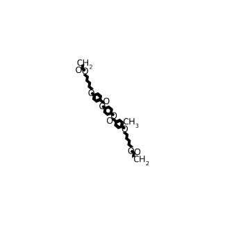 C=CC(=O)OCCCCCCOc1ccc(C(=O)OC2CCC(OC(=O)c3ccc(OCCCCCCOC(=O)C=C)c(C)c3)CC2)cc1